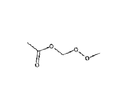 COOCOC(C)=O